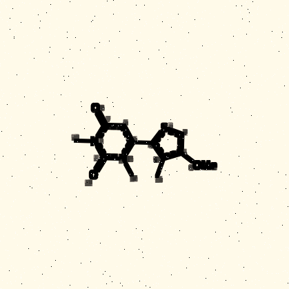 COc1csc(-c2cc(=O)n(C)c(=O)n2C)c1C